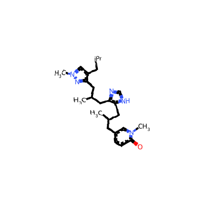 CC(C)Cc1cn(C)nc1CC(C)Cc1nc[nH]c1CC(C)Cc1ccc(=O)n(C)c1